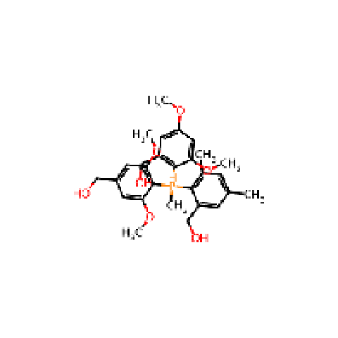 COc1cc(CO)c([PH](C)(c2c(C)cc(C)cc2CO)c2c(OC)cc(CO)cc2OC)c(OC)c1